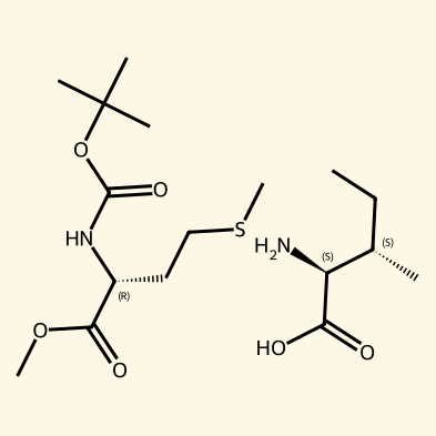 CC[C@H](C)[C@H](N)C(=O)O.COC(=O)[C@@H](CCSC)NC(=O)OC(C)(C)C